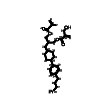 C=C(C)C(=O)OCC(COC(=O)C(=C)CO)CC1CCC(c2ccc(CCCC(C)C)cc2)CC1